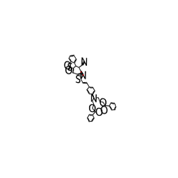 N#CC(C#N)C1/C(=C\c2ccc(/C=C/c3ccc(N(CCOC(=O)c4ccccc4)CCOC(=O)c4ccccc4)cc3)s2)S(=O)(=O)c2ccccc21